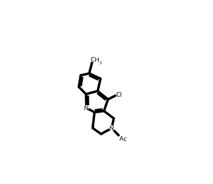 CC(=O)N1CCc2nc3ccc(C)cc3c(Cl)c2C1